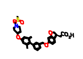 Cc1cc(OC2CCN(OS(C)=O)CC2)cc(C)c1-c1cccc(COc2ccc3c(c2)OC[C@H]3CC(=O)O)c1